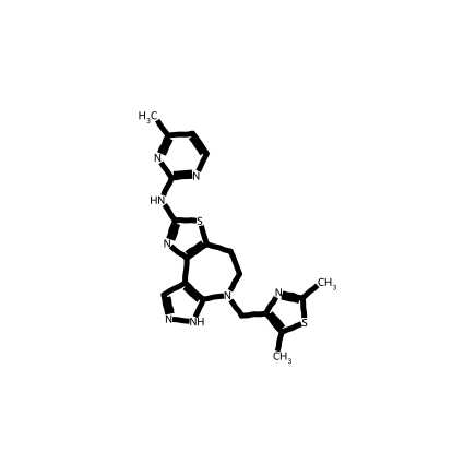 Cc1ccnc(Nc2nc3c(s2)CCN(Cc2nc(C)sc2C)c2[nH]ncc2-3)n1